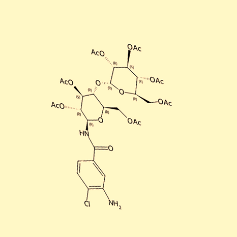 CC(=O)OC[C@H]1O[C@@H](NC(=O)c2ccc(Cl)c(N)c2)[C@H](OC(C)=O)[C@@H](OC(C)=O)[C@@H]1O[C@H]1O[C@H](COC(C)=O)[C@@H](OC(C)=O)[C@H](OC(C)=O)[C@H]1OC(C)=O